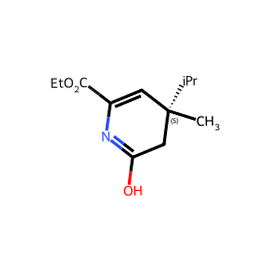 CCOC(=O)C1=C[C@](C)(C(C)C)CC(O)=N1